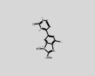 CSc1nc2c(F)cc(-c3ccnc(Cl)n3)cc2n1C(C)C